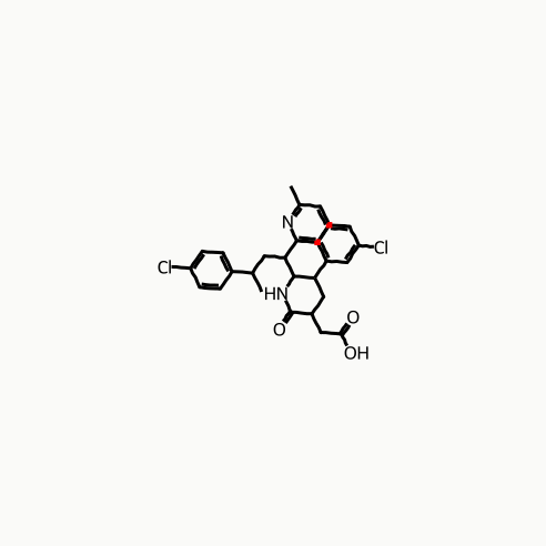 Cc1cccc(C(CC(C)c2ccc(Cl)cc2)C2NC(=O)C(CC(=O)O)CC2c2cccc(Cl)c2)n1